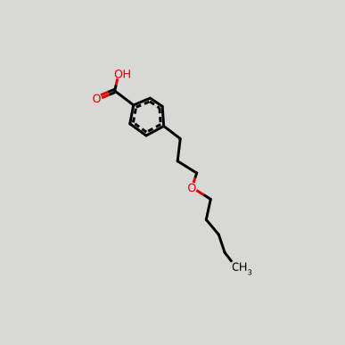 CCCCCOCCCc1ccc(C(=O)O)cc1